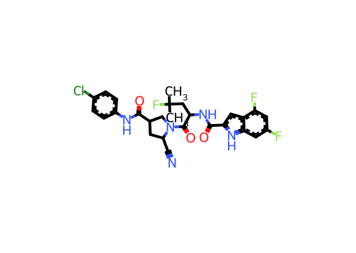 CC(C)(F)CC(NC(=O)c1cc2c(F)cc(F)cc2[nH]1)C(=O)N1CC(C(=O)Nc2ccc(Cl)cc2)CC1C#N